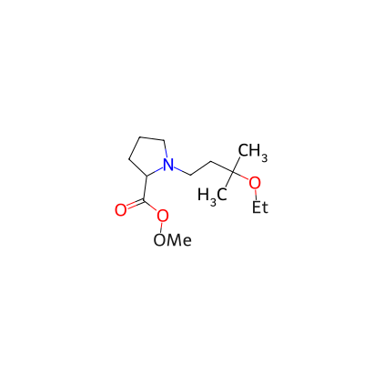 CCOC(C)(C)CCN1CCCC1C(=O)OOC